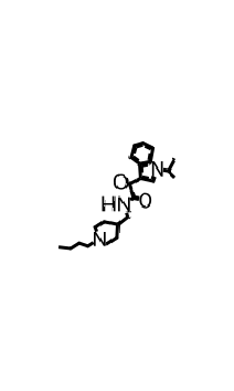 CCCCN1CCC(CNC(=O)C(=O)c2cn(C(C)C)c3ccccc23)CC1